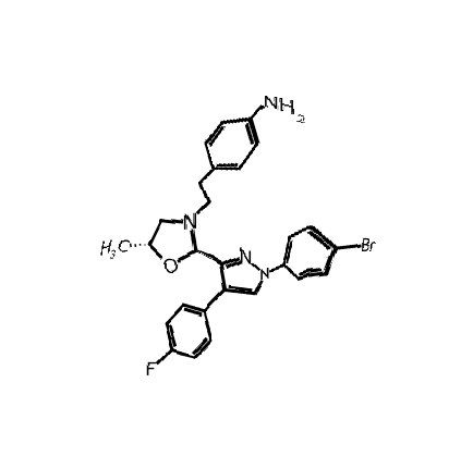 C[C@@H]1CN(CCc2ccc(N)cc2)[C@@H](c2nn(-c3ccc(Br)cc3)cc2-c2ccc(F)cc2)O1